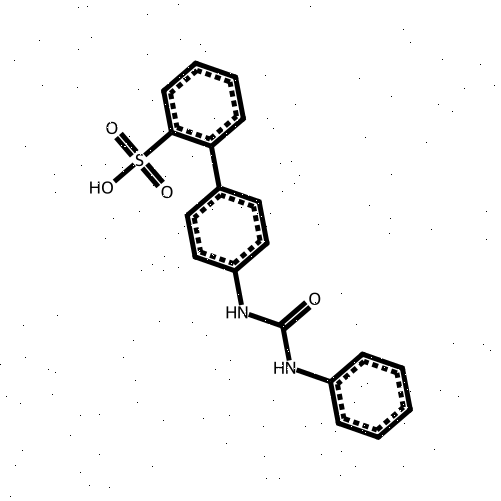 O=C(Nc1ccccc1)Nc1ccc(-c2ccccc2S(=O)(=O)O)cc1